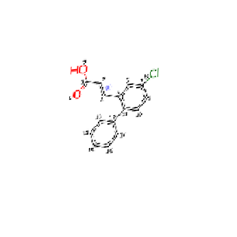 O=C(O)/C=C/c1cc(Cl)ccc1-c1ccccc1